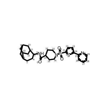 O=C(NC1CCC2CC3CC2CC1C3)C1CCN(S(=O)(=O)c2ccc(-c3ccccn3)s2)CC1